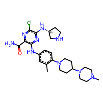 Cc1cc(Nc2nc(N[C@@H]3CCNC3)c(Cl)nc2C(N)=O)ccc1N1CCC(N2CCN(C)CC2)CC1